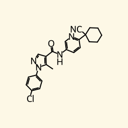 Cc1c(C(=O)Nc2ccc(C3(C#N)CCCCC3)nc2)cnn1-c1ccc(Cl)cc1